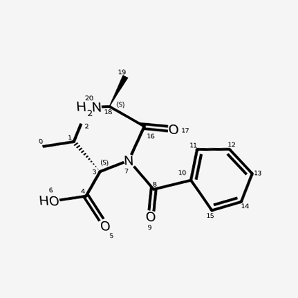 CC(C)[C@@H](C(=O)O)N(C(=O)c1ccccc1)C(=O)[C@H](C)N